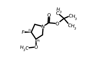 CO[C@@H]1CN(C(=O)OC(C)(C)C)C[C@@H]1F